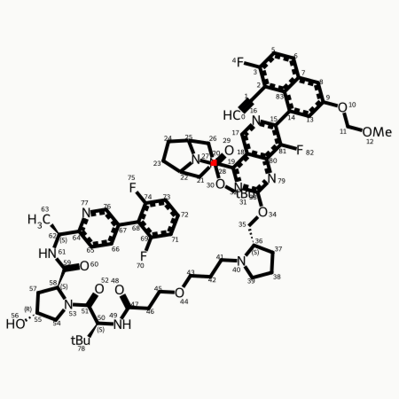 C#Cc1c(F)ccc2cc(OCOC)cc(-c3ncc4c(N5CC6CCC(C5)N6C(=O)OC(C)(C)C)nc(OC[C@@H]5CCCN5CCCOCCC(=O)N[C@H](C(=O)N5C[C@H](O)C[C@H]5C(=O)N[C@@H](C)c5ccc(-c6c(F)cccc6F)cn5)C(C)(C)C)nc4c3F)c12